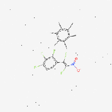 Cc1c(C)c(C)c(C)c(C)c1C.O=[N+]([O-])C(F)=C(F)c1ccc(F)c(F)c1F